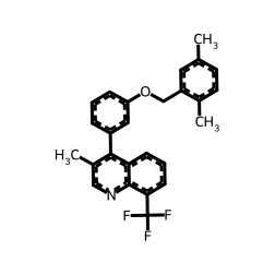 Cc1ccc(C)c(COc2cccc(-c3c(C)cnc4c(C(F)(F)F)cccc34)c2)c1